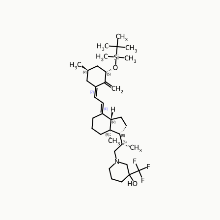 C=C1/C(=C\C=C2/CCC[C@]3(C)[C@@H]([C@H](C)CN4CCCC(O)(C(F)(F)F)C4)CC[C@@H]23)C[C@@H](C)C[C@@H]1O[Si](C)(C)C(C)(C)C